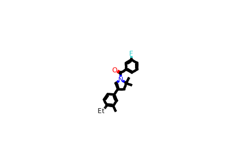 CCc1ccc(C2=CN(C(=O)c3cccc(F)c3)C(C)(C)C2)cc1C